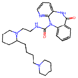 O=C1Nc2cccnc2N(C(=O)NCCN2CCCCC2CCCCN2CCCCC2)c2ccccc21